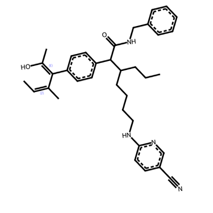 C/C=C(C)\C(=C(\C)O)c1ccc(C(C(=O)NCc2ccccc2)C(CCC)CCCCNc2ccc(C#N)cn2)cc1